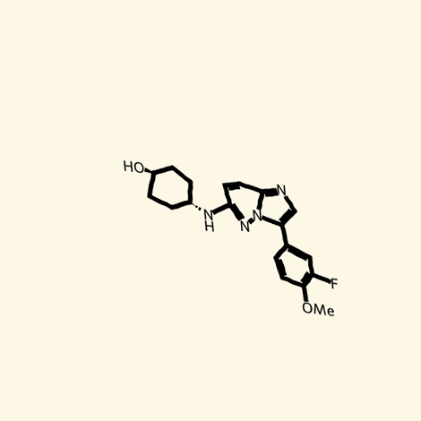 COc1ccc(-c2cnc3ccc(N[C@H]4CC[C@H](O)CC4)nn23)cc1F